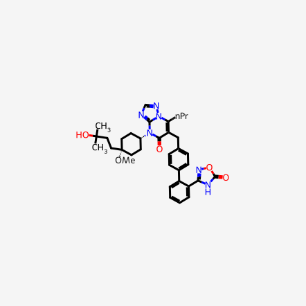 CCCc1c(Cc2ccc(-c3ccccc3-c3noc(=O)[nH]3)cc2)c(=O)n([C@H]2CC[C@@](CCC(C)(C)O)(OC)CC2)c2ncnn12